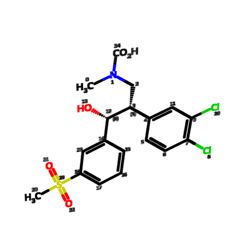 CN(C[C@H](c1ccc(Cl)c(Cl)c1)[C@@H](O)c1cccc(S(C)(=O)=O)c1)C(=O)O